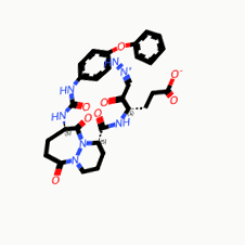 N=[N+]=CC(=O)[C@H](CCC(=O)[O-])NC(=O)[C@@H]1CCCN2C(=O)CC[C@H](NC(=O)Nc3ccc(Oc4ccccc4)cc3)C(=O)N12